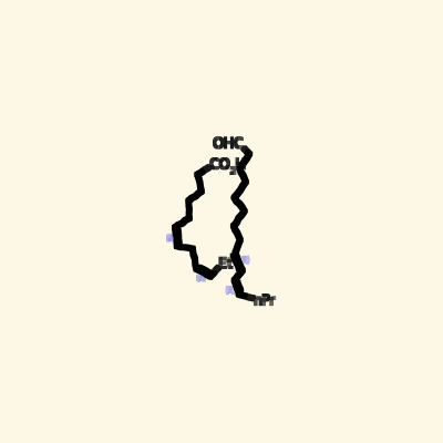 CC/C=C\C/C=C\CCCCC(=O)O.CCC/C=C\C=C\CCCCCCCC=O